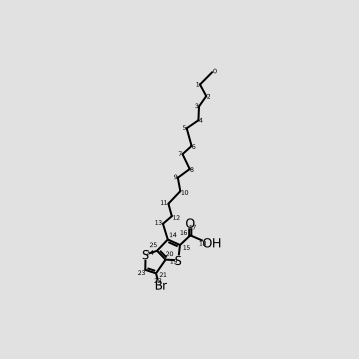 CCCCCCCCCCCCCCc1c(C(=O)O)sc2c(Br)csc12